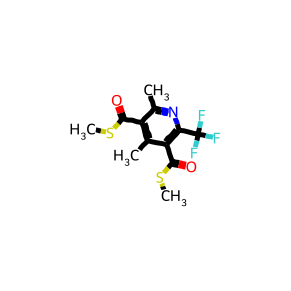 CSC(=O)c1c(C)nc(C(F)(F)F)c(C(=O)SC)c1C